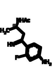 CC(=O)N[C@H](C)CC(=N)c1ccc(N)cc1F